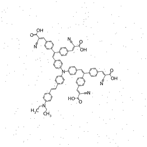 CCN(CC)c1ccc(/C=C/c2ccc(N(c3ccc(C=C(c4ccc(/C=C(\C#N)C(=O)O)cc4)c4ccc(/C=C(\C#N)C(=O)O)cc4)cc3)c3ccc(C=C(c4ccc(/C=C(\C#N)C(=O)O)cc4)c4ccc(/C=C(\C#N)C(=O)O)cc4)cc3)cc2)cc1